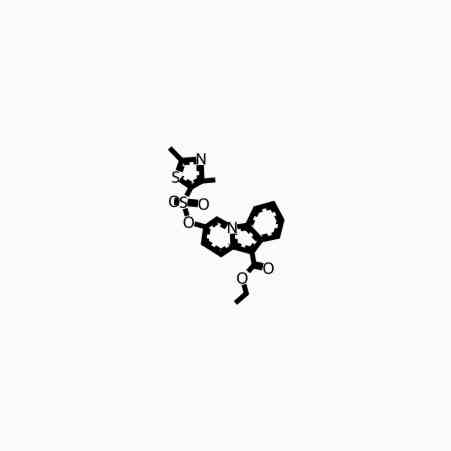 CCOC(=O)c1c2ccccc2n2cc(OS(=O)(=O)c3sc(C)nc3C)ccc12